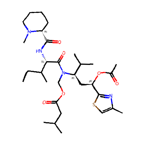 CCC(C)[C@H](NC(=O)[C@H]1CCCCN1C)C(=O)N(COC(=O)CC(C)C)[C@H](C[C@@H](OC(C)=O)c1nc(C)cs1)C(C)C